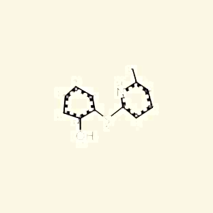 Cc1cccc(Sc2ccccc2O)n1